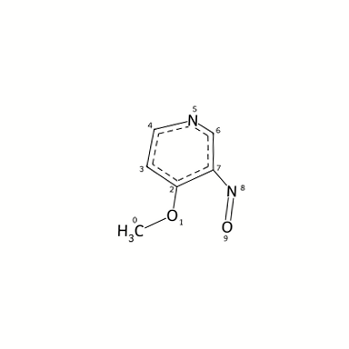 COc1ccncc1N=O